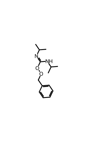 CC(C)/N=C(\NC(C)C)OOCc1ccccc1